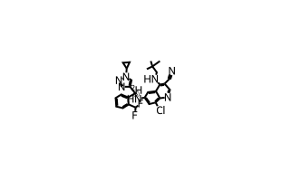 [2H][C@@](Nc1cc(Cl)c2ncc(C#N)c(NCC(C)(C)C)c2c1)(c1cn(C2CC2)nn1)c1ccccc1C(F)F